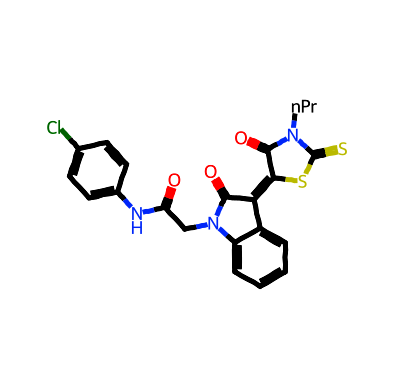 CCCN1C(=O)C(=C2C(=O)N(CC(=O)Nc3ccc(Cl)cc3)c3ccccc32)SC1=S